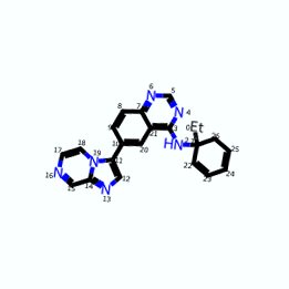 CCC1(Nc2ncnc3ccc(-c4cnc5cnccn45)cc23)C=CC=CC1